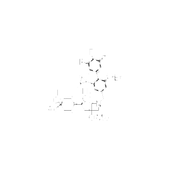 C=C(CC1(OC)CN(Cc2cc(OCC)c(-c3cc(F)c(F)c(F)c3)c(C3CC3)c2)C1)C1CCC(C)(C(C)=O)CC1